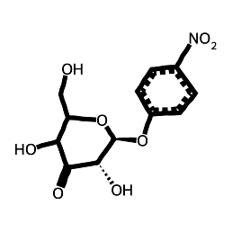 O=C1C(O)C(CO)O[C@@H](Oc2ccc([N+](=O)[O-])cc2)[C@@H]1O